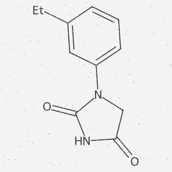 CCc1cccc(N2CC(=O)NC2=O)c1